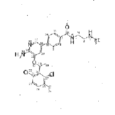 CCNCCNC(=O)c1ccc(-c2cnc(N)c(OC(C)c3c(Cl)ccc(F)c3Cl)c2)cc1